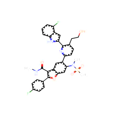 CNC(=O)c1c(-c2ccc(F)cc2)oc2cc(N(C)S(C)(=O)=O)c(-c3ccc(CCO)c(-c4cc5c(F)cccc5[nH]4)n3)cc12